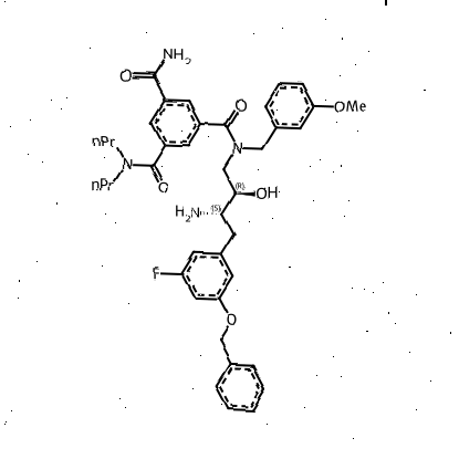 CCCN(CCC)C(=O)c1cc(C(N)=O)cc(C(=O)N(Cc2cccc(OC)c2)C[C@@H](O)[C@@H](N)Cc2cc(F)cc(OCc3ccccc3)c2)c1